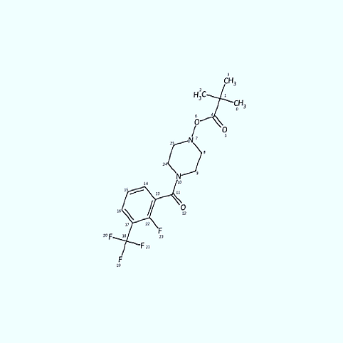 CC(C)(C)C(=O)ON1CCN(C(=O)c2cccc(C(F)(F)F)c2F)CC1